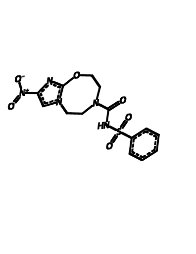 O=C(NS(=O)(=O)c1ccccc1)N1CCOc2nc([N+](=O)[O-])cn2CC1